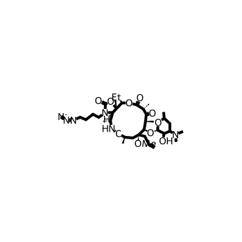 C=CC[C@@]1(OC)C[C@@H](C)CN[C@H](C)[C@H]2N(CCCCN=[N+]=[N-])C(=O)O[C@]2(C)[C@@H](CC)OC(=O)[C@H](C)C(=O)[C@@H](C)[C@H]1O[C@@H]1OC(C)CC(N(C)C)C1O